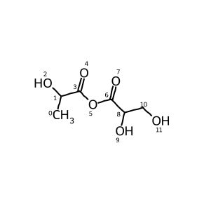 CC(O)C(=O)OC(=O)C(O)CO